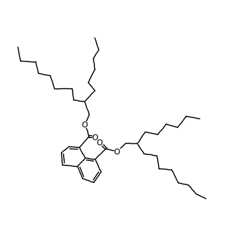 CCCCCCCCC(CCCCCC)COC(=O)c1cccc2cccc(C(=O)OCC(CCCCCC)CCCCCCCC)c12